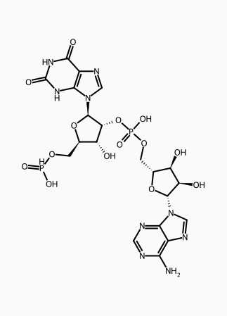 Nc1ncnc2c1ncn2[C@@H]1O[C@H](COP(=O)(O)O[C@@H]2[C@H](O)[C@@H](CO[PH](=O)O)O[C@H]2n2cnc3c(=O)[nH]c(=O)[nH]c32)[C@@H](O)[C@H]1O